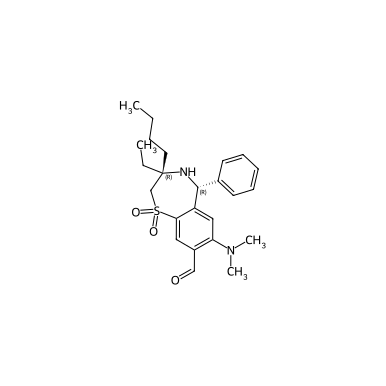 CCCC[C@]1(CC)CS(=O)(=O)c2cc(C=O)c(N(C)C)cc2[C@@H](c2ccccc2)N1